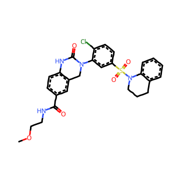 COCCNC(=O)c1ccc2c(c1)CN(c1cc(S(=O)(=O)N3CCCc4ccccc43)ccc1Cl)C(=O)N2